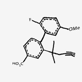 C#CC(C)(C)c1cc(C(=O)O)ccc1-c1cc(OC)ccc1F